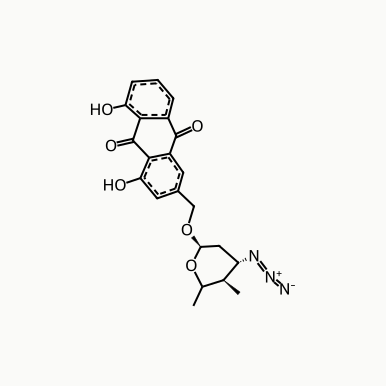 CC1O[C@@H](OCc2cc(O)c3c(c2)C(=O)c2cccc(O)c2C3=O)C[C@H](N=[N+]=[N-])[C@H]1C